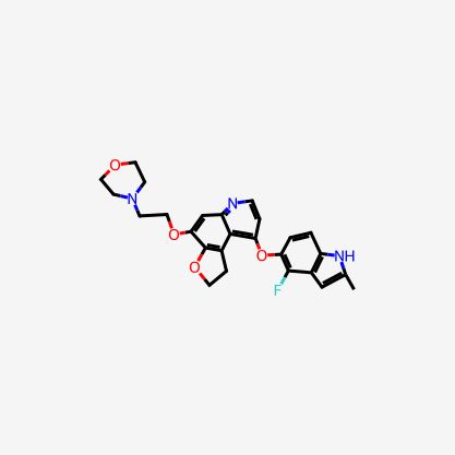 Cc1cc2c(F)c(Oc3ccnc4cc(OCCN5CCOCC5)c5c(c34)CCO5)ccc2[nH]1